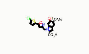 COc1cc2cc(C(=O)O)n(Cc3cc(-c4ccc(Cl)s4)on3)c2cc1O